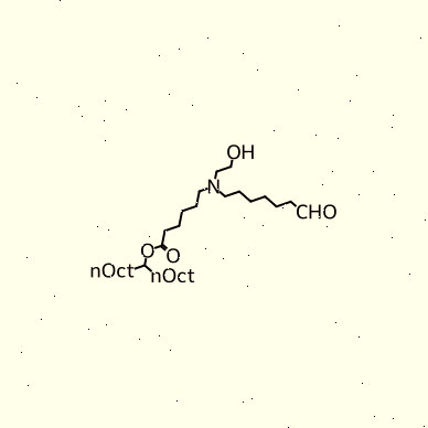 CCCCCCCCC(CCCCCCCC)OC(=O)CCCCCN(CCO)CCCCCCC=O